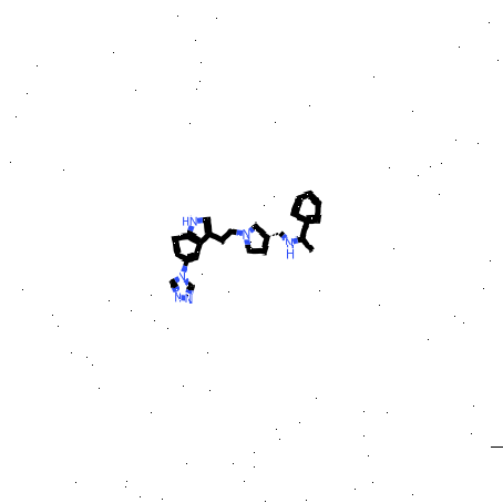 CC(NC[C@@H]1CCN(CCc2c[nH]c3ccc(-n4cnnc4)cc23)C1)c1ccccc1